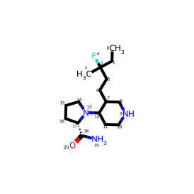 CCC(C)(F)CCC1CNCCC1N1CCC[C@H]1C(N)=O